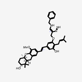 COc1cc(/C=C/c2cc(O)c(CC=C(C)C)c(OC/C(=C/NCc3ccccc3)N=N)c2)cc2c1O[C@]1(C)CC[C@@H](O)C(C)(C)[C@H]1C2